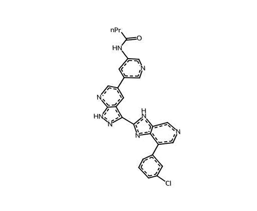 CCCC(=O)Nc1cncc(-c2cnc3[nH]nc(-c4nc5c(-c6cccc(Cl)c6)cncc5[nH]4)c3c2)c1